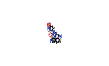 COc1ccc(N2C[C@@H](C#N)N(c3cncc4ccccc34)C2=O)cn1